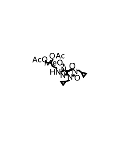 COCn1c(NCCC(COC(C)=O)COC(C)=O)nc2c1c(=O)n(CC1CC1)c(=O)n2CC1CC1